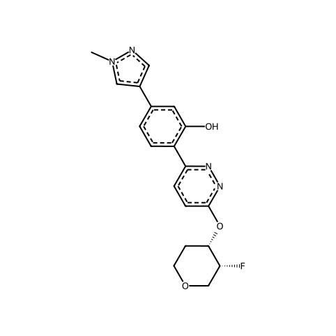 Cn1cc(-c2ccc(-c3ccc(O[C@H]4CCOC[C@H]4F)nn3)c(O)c2)cn1